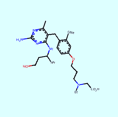 CCCC(CCO)Nc1nc(N)nc(C)c1Cc1ccc(OCCCN(CC)CC(=O)O)cc1OC